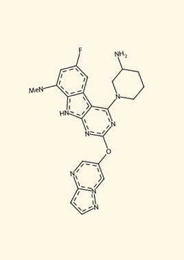 CNc1cc(F)cc2c1[nH]c1nc(Oc3cnc4ccnn4c3)nc(N3CCCC(N)C3)c12